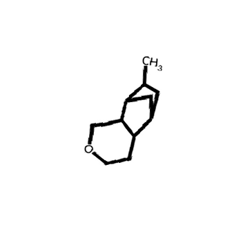 CC1CC2CC1C1COCCC21